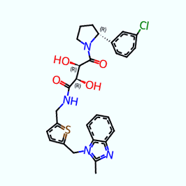 Cc1nc2ccccc2n1Cc1ccc(CNC(=O)[C@H](O)[C@@H](O)C(=O)N2CCC[C@@H]2c2cccc(Cl)c2)s1